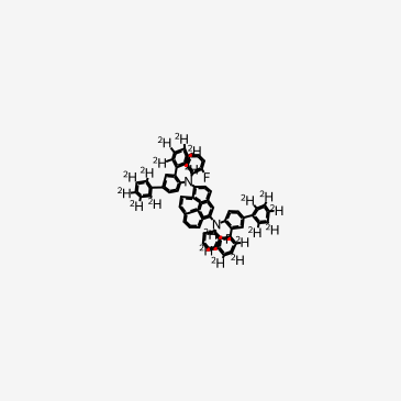 [2H]c1c([2H])c([2H])c(-c2ccc(N(c3ccccc3F)c3cc4ccc(N(c5ccccc5F)c5ccc(-c6c([2H])c([2H])c([2H])c([2H])c6[2H])cc5-c5c([2H])c([2H])c([2H])c([2H])c5[2H])c5ccc6cccc3c6c45)c(-c3c([2H])c([2H])c([2H])c([2H])c3[2H])c2)c([2H])c1[2H]